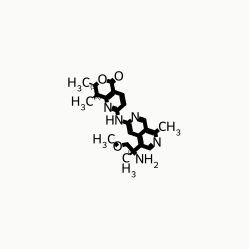 COC[C@@](C)(N)c1cnc(C)c2cnc(Nc3ccc4c(n3)[C@@H](C)[C@H](C)OC4=O)cc12